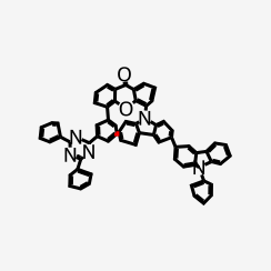 O=c1c2cccc(-c3cccc(-c4nc(-c5ccccc5)nc(-c5ccccc5)n4)c3)c2oc2c(-n3c4ccccc4c4cc(-c5ccc6c(c5)c5ccccc5n6-c5ccccc5)ccc43)cccc12